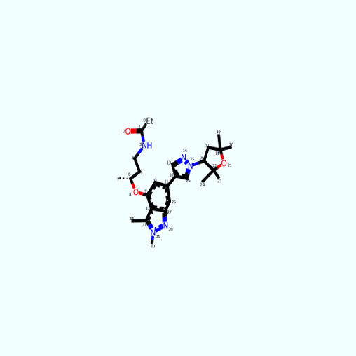 CCC(=O)NCC[C@@H](C)Oc1cc(-c2cnn(C3CC(C)(C)OC3(C)C)c2)cc2nn(C)c(C)c12